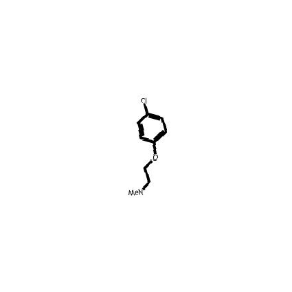 CNCCOc1ccc(Cl)cc1